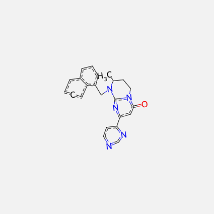 CC1CCn2c(nc(-c3ccncn3)cc2=O)N1Cc1cccc2ccccc12